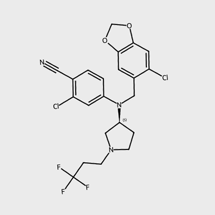 N#Cc1ccc(N(Cc2cc3c(cc2Cl)OCO3)[C@H]2CCN(CCC(F)(F)F)C2)cc1Cl